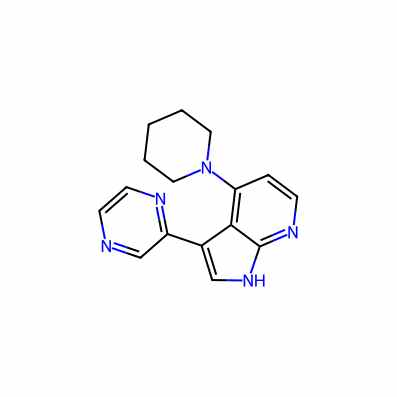 c1cnc(-c2c[nH]c3nccc(N4CCCCC4)c23)cn1